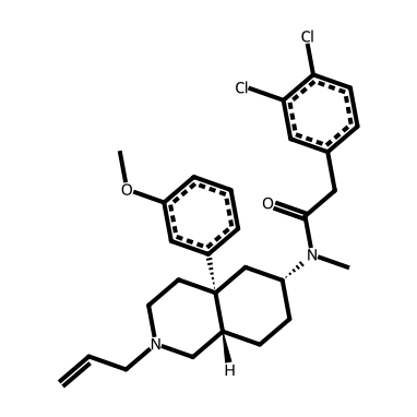 C=CCN1CC[C@@]2(c3cccc(OC)c3)C[C@H](N(C)C(=O)Cc3ccc(Cl)c(Cl)c3)CC[C@@H]2C1